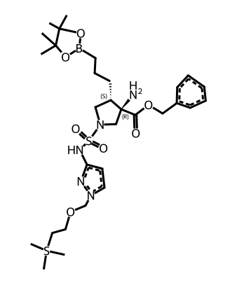 CC1(C)OB(CCC[C@H]2CN(S(=O)(=O)Nc3ccn(COCCS(C)(C)C)n3)C[C@@]2(N)C(=O)OCc2ccccc2)OC1(C)C